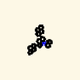 c1ccc2c(-n3c4ccc(-c5ccc6ccc7cccc8ccc5c6c78)c5ccc6c(-c7ccc8ccc9cccc%10ccc7c8c9%10)ccc3c6c54)cccc2c1